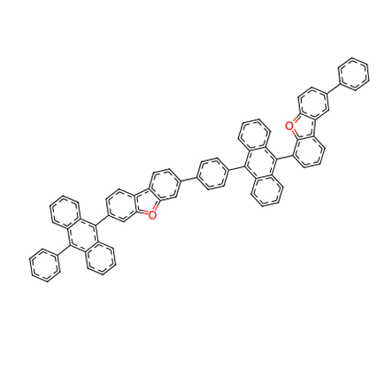 c1ccc(-c2ccc3oc4c(-c5c6ccccc6c(-c6ccc(-c7ccc8c(c7)oc7cc(-c9c%10ccccc%10c(-c%10ccccc%10)c%10ccccc9%10)ccc78)cc6)c6ccccc56)cccc4c3c2)cc1